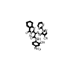 N#Cc1cnn(-c2ncccn2)c1N=NC(C(=O)Nc1ccc(N=O)cc1O)c1nc2ccccc2c(=O)[nH]1